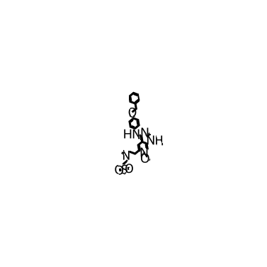 CON1C=C2NC=NC(Nc3ccc(OCc4ccccc4)cc3)=C2C=C1CCN(C)CCS(C)(=O)=O